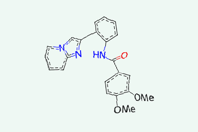 COc1ccc(C(=O)Nc2ccccc2-c2cn3ccccc3n2)cc1OC